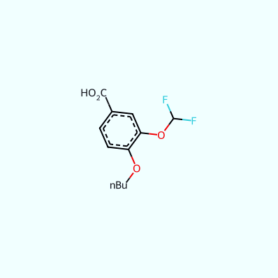 CCCCOc1ccc(C(=O)O)cc1OC(F)F